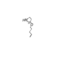 C=CCCCO[C@@H]1CCNC1